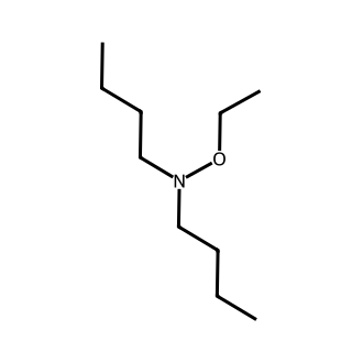 CCCCN(CCCC)OCC